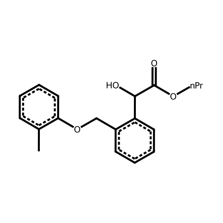 CCCOC(=O)C(O)c1ccccc1COc1ccccc1C